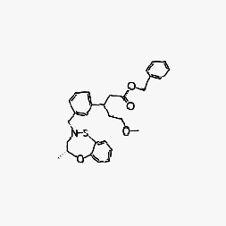 COCCC(CC(=O)OCc1ccccc1)c1cccc(CN2C[C@@H](C)Oc3ccccc3S2)c1